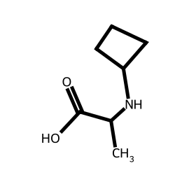 CC(NC1CCC1)C(=O)O